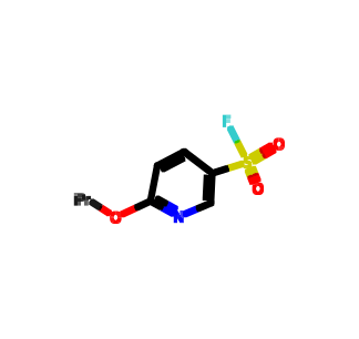 CC(C)Oc1ccc(S(=O)(=O)F)cn1